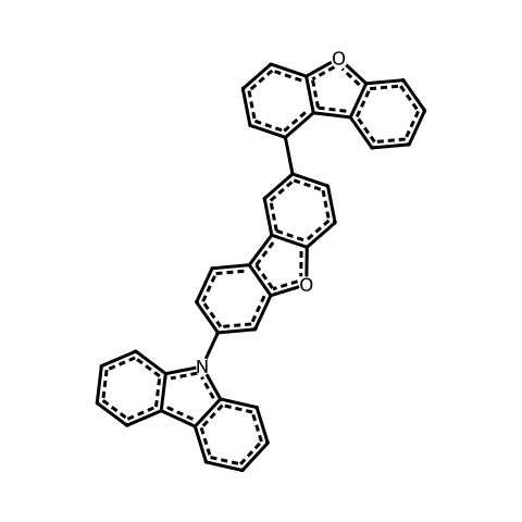 c1ccc2c(c1)oc1cccc(-c3ccc4oc5cc(-n6c7ccccc7c7ccccc76)ccc5c4c3)c12